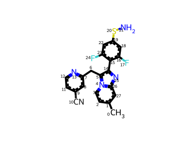 Cc1ccn2c(Cc3cc(C#N)ccn3)c(-c3c(F)cc(SN)cc3F)nc2c1